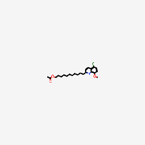 COc1ccc(Cl)c2ccc(CCCCCCCCCCCOC(C)=O)nc12